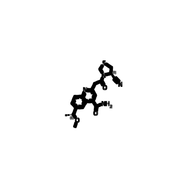 CO[C@H](C)c1ccc2nc(CC(=O)N3CSC[C@H]3C#N)cc(C(N)=O)c2c1